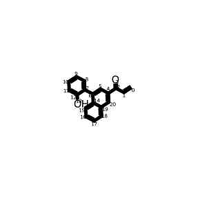 C=CC(=O)c1cc(-c2ccccc2O)c2ccccc2c1